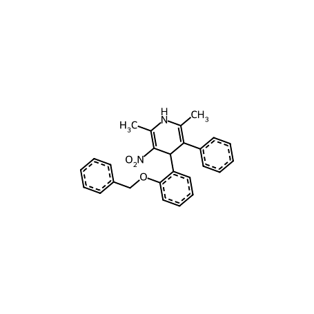 CC1=C(c2ccccc2)C(c2ccccc2OCc2ccccc2)C([N+](=O)[O-])=C(C)N1